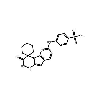 NS(=O)(=O)c1ccc(Nc2ncc3cc4n(c3n2)C2(CCCCC2)C(=O)NN4)cc1